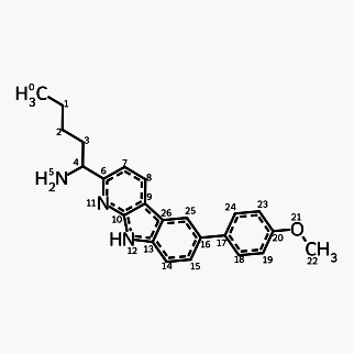 CCCCC(N)c1ccc2c(n1)[nH]c1ccc(-c3ccc(OC)cc3)cc12